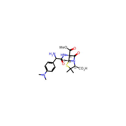 COC(=O)[C@]1(NC(=O)C(N)c2ccc(N(C)C)cc2)C(=O)N2[C@@H](C(=O)O)C(C)(C)S[C@@H]21